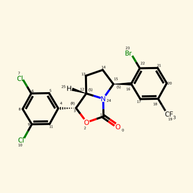 O=C1O[C@H](c2cc(Cl)cc(Cl)c2)[C@@H]2CC[C@@H](c3cc(C(F)(F)F)ccc3Br)N12